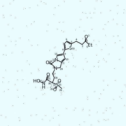 CCC(=O)CCc1ccc(-c2cc3n(c2)C(=O)N(CC[C@](C)(C(=O)NO)S(C)(=O)=O)C3)s1